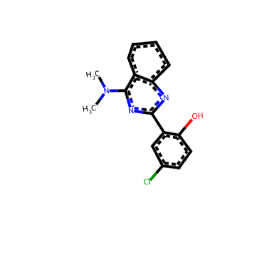 CN(C)c1nc(-c2cc(Cl)ccc2O)nc2ccccc12